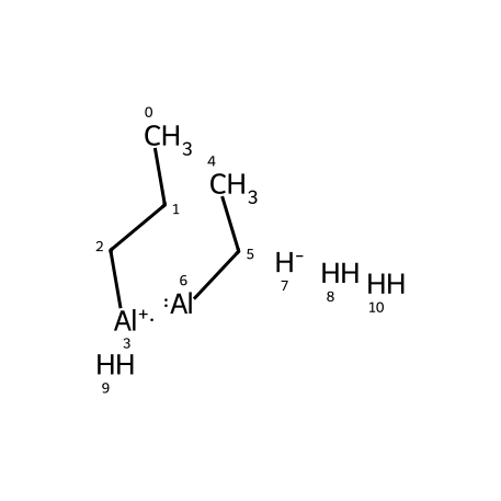 CC[CH2][Al+].C[CH2][Al].[H-].[HH].[HH].[HH]